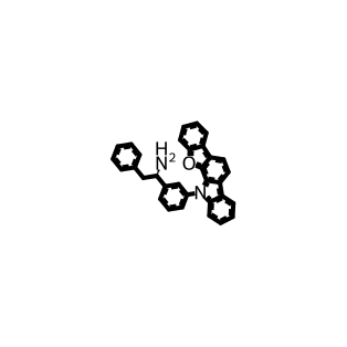 N[C@@H](Cc1ccccc1)c1cccc(-n2c3ccccc3c3ccc4c5ccccc5oc4c32)c1